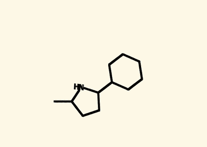 CC1CCC(C2CCCCC2)N1